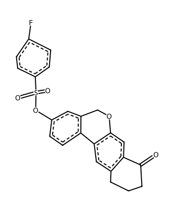 O=C1CCCc2cc3c(cc21)OCc1cc(OS(=O)(=O)c2ccc(F)cc2)ccc1-3